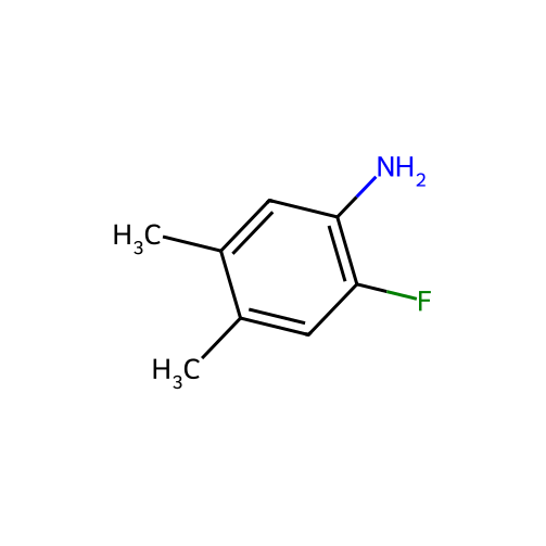 Cc1cc(N)c(F)cc1C